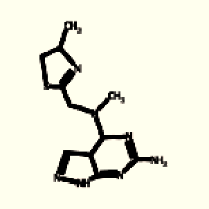 CC1CSC(CN(C)C2N=C(N)N=C3NN=CC32)=N1